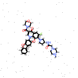 CN1CCN(CC(=O)N[C@@H]2CCN(c3c(F)cc4c(=O)c(C(=O)N5CCOCC5)cn5c4c3Oc3cc4c(cc3-5)oc3ccccc34)C2)CC1